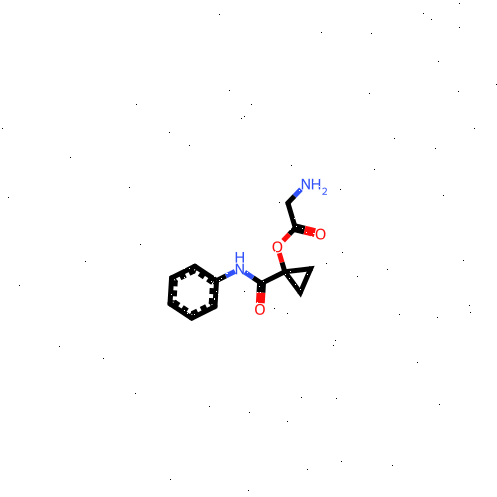 NCC(=O)OC1(C(=O)Nc2ccccc2)CC1